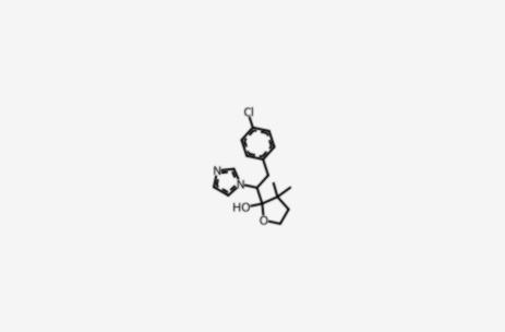 CC1(C)CCOC1(O)C(Cc1ccc(Cl)cc1)n1ccnc1